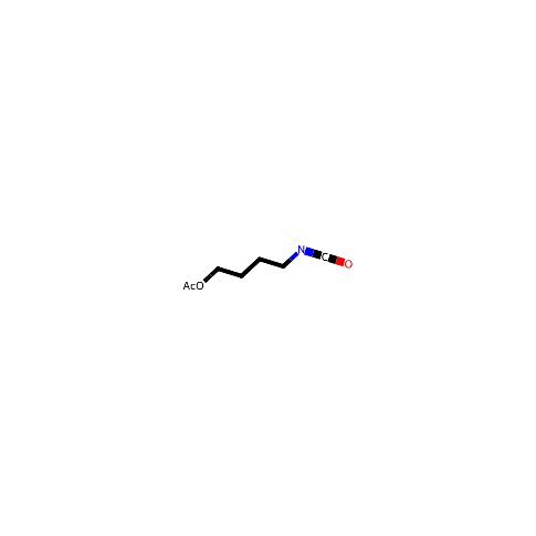 CC(=O)OCCCCN=C=O